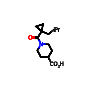 CC(C)CC1(C(=O)N2CCC(C(=O)O)CC2)CC1